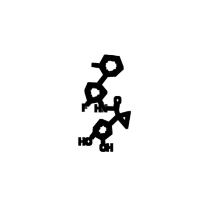 Cc1ccccc1-c1ccc(F)c(NC(=O)C2(c3ccc(O)c(O)c3)CC2)c1